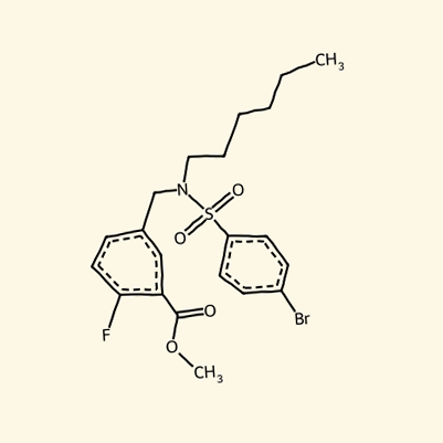 CCCCCCN(Cc1ccc(F)c(C(=O)OC)c1)S(=O)(=O)c1ccc(Br)cc1